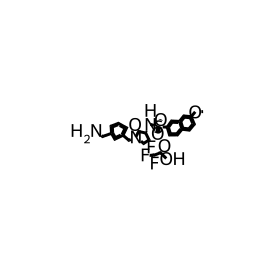 COc1ccc2ccc(S(=O)(=O)N[C@H]3CCN(Cc4cccc(CN)c4)C3=O)cc2c1.O=C(O)C(F)(F)F